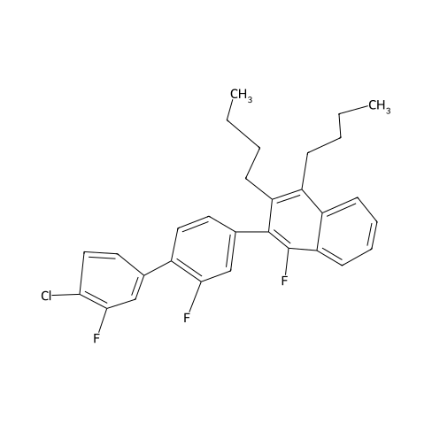 CCCCc1c(-c2ccc(-c3ccc(Cl)c(F)c3)c(F)c2)c(F)c2ccccc2c1CCCC